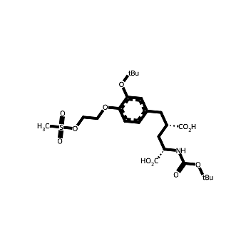 CC(C)(C)OC(=O)N[C@@H](C[C@H](Cc1ccc(OCCOS(C)(=O)=O)c(OC(C)(C)C)c1)C(=O)O)C(=O)O